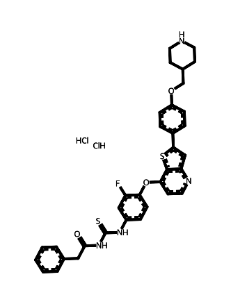 Cl.Cl.O=C(Cc1ccccc1)NC(=S)Nc1ccc(Oc2ccnc3cc(-c4ccc(OCC5CCNCC5)cc4)sc23)c(F)c1